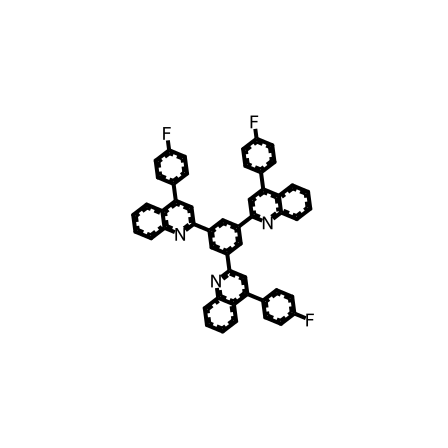 Fc1ccc(-c2cc(-c3cc(-c4cc(-c5ccc(F)cc5)c5ccccc5n4)cc(-c4cc(-c5ccc(F)cc5)c5ccccc5n4)c3)nc3ccccc23)cc1